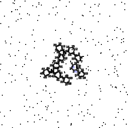 CC/C(=C\C=C/Cc1cccc(-c2cccc(-n3c4ccccc4c4cc(-c5ccc6c(c5)c5cc(-c7ccccc7)ccc5n6-c5ccccc5)ccc43)c2)c1)c1ccccc1